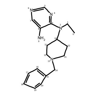 CCN(c1ncncc1N)C1CCN(Cc2ccccc2)CC1